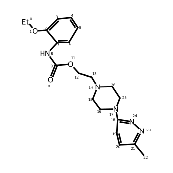 CCOc1ccccc1NC(=O)OCCN1CCN(c2ccc(C)nn2)CC1